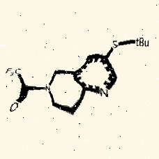 CC(C)(C)Sc1cnc2c(c1)CN(C(=O)C(F)(F)F)CC2